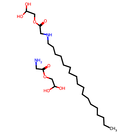 CCCCCCCCCCCCCCCCCCNCC(=O)OCC(O)O.NCC(=O)OCC(O)O